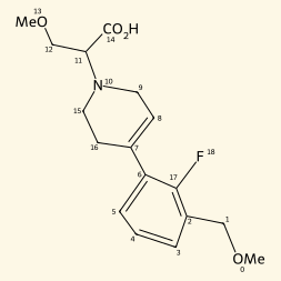 COCc1cccc(C2=CCN(C(COC)C(=O)O)CC2)c1F